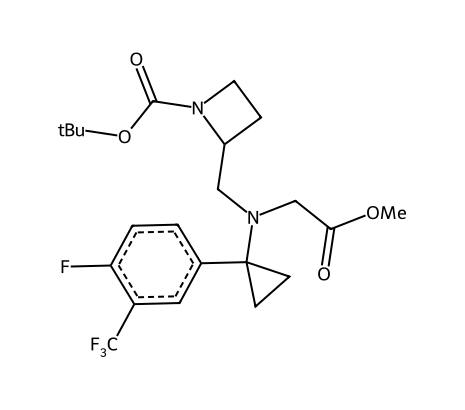 COC(=O)CN(CC1CCN1C(=O)OC(C)(C)C)C1(c2ccc(F)c(C(F)(F)F)c2)CC1